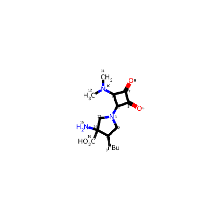 CCCCC1CN(C2C(=O)C(=O)C2N(C)C)CC1(N)C(=O)O